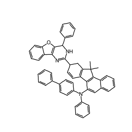 CC1(C)C2=C(C=CC(C3=Nc4c(oc5ccccc45)C(c4ccccc4)N3)C2)c2c(N(c3ccccc3)c3ccc(-c4ccccc4)cc3)cc3ccccc3c21